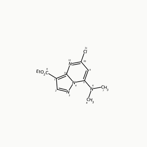 CCOC(=O)c1cnn2c(N(C)C)cc(Cl)nc12